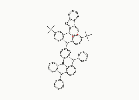 CC(C)(C)c1ccc(N(c2ccc3c(n2)N(c2ccccc2)c2cccc4c2B3c2ccccc2N4c2ccccc2)c2ccc(C(C)(C)C)cc2-c2cccc3c2oc2ccccc23)cc1